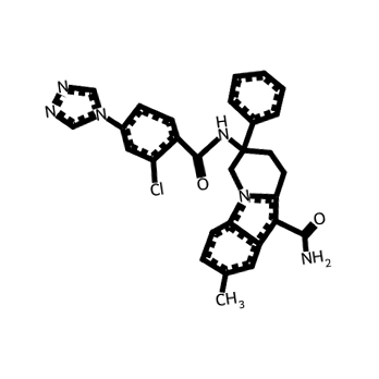 Cc1ccc2c(c1)c(C(N)=O)c1n2CC(NC(=O)c2ccc(-n3cnnc3)cc2Cl)(c2ccccc2)CC1